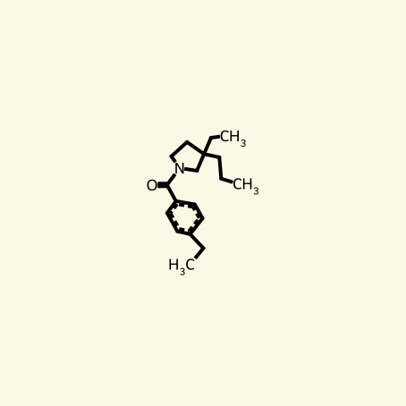 CCCC1(CC)CCN(C(=O)c2ccc(CC)cc2)C1